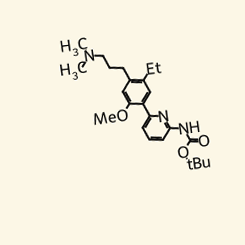 CCc1cc(-c2cccc(NC(=O)OC(C)(C)C)n2)c(OC)cc1CCCN(C)C